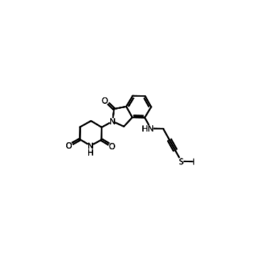 O=C1CCC(N2Cc3c(NCC#CSI)cccc3C2=O)C(=O)N1